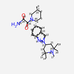 C[C@H]1CC[C@H](c2ccc3nn(C4CC(C)(C)N(C)C(C)(C)C4)cc3c2)N(C(=O)C(N)=O)C1